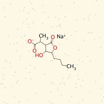 CCCCC1OC(=O)C(C(C)C(=O)[O-])C1O.[Na+]